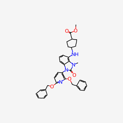 COC(=O)C1CCC(Nc2cccc3c2n(C)c(=O)n3-c2ccc(OCc3ccccc3)nc2OCc2ccccc2)CC1